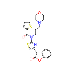 O=C1Oc2ccccc2C1c1csc(N(CCCN2CCOCC2)C(=O)c2cccs2)n1